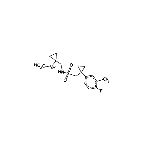 O=C(O)NC1(CNS(=O)(=O)CC2(c3ccc(F)c(C(F)(F)F)c3)CC2)CC1